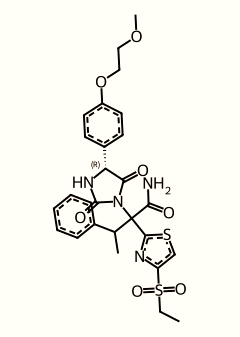 CCS(=O)(=O)c1csc(C(C(N)=O)(C(C)c2ccccc2)N2C(=O)N[C@H](c3ccc(OCCOC)cc3)C2=O)n1